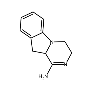 NC1=NCCN2c3ccccc3CC12